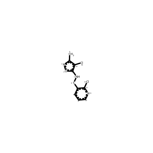 Cc1noc(NSc2cccnc2Cl)c1Cl